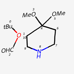 CC(C)(C)OC=O.COC1(OC)CCNCC1